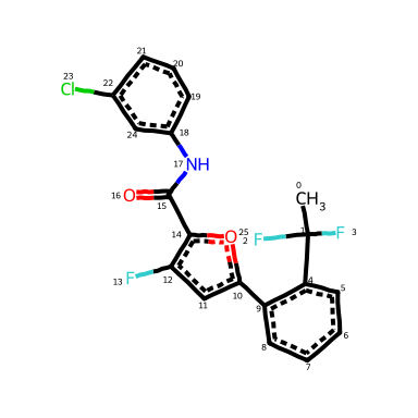 CC(F)(F)c1ccccc1-c1cc(F)c(C(=O)Nc2cccc(Cl)c2)o1